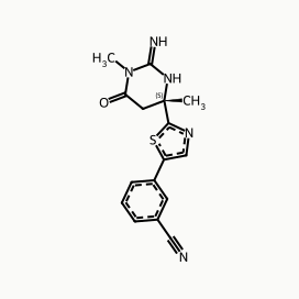 CN1C(=N)N[C@](C)(c2ncc(-c3cccc(C#N)c3)s2)CC1=O